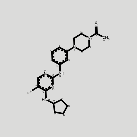 CC(=O)N1CCN(c2cccc(Nc3ncc(F)c(NC4CCCC4)n3)c2)CC1